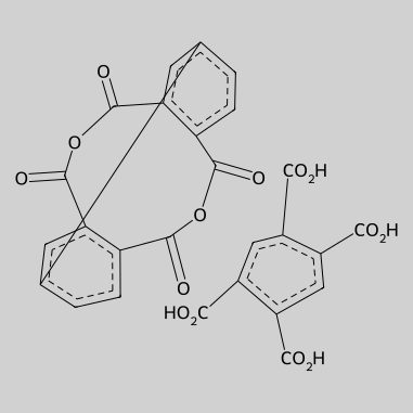 O=C(O)c1cc(C(=O)O)c(C(=O)O)cc1C(=O)O.O=C1OC(=O)c2ccc3cc2C(=O)OC(=O)c2cc-3ccc21